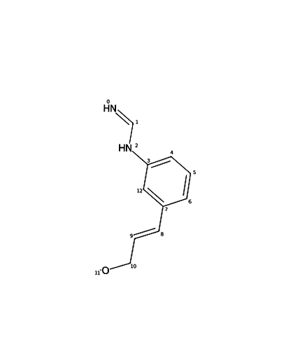 N=CNc1cccc(C=CC[O])c1